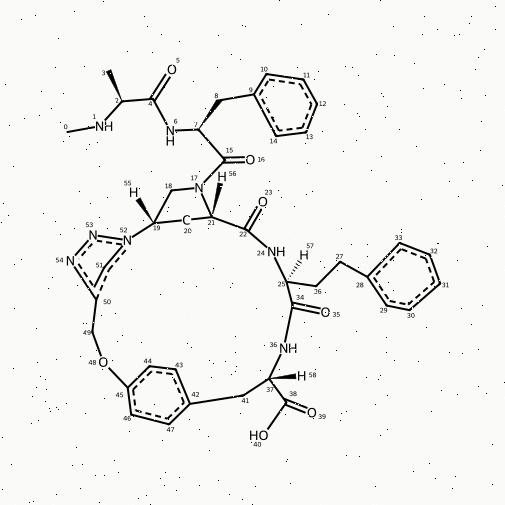 CN[C@@H](C)C(=O)N[C@@H](Cc1ccccc1)C(=O)N1C[C@@H]2C[C@H]1C(=O)N[C@@H](CCc1ccccc1)C(=O)N[C@H](C(=O)O)Cc1ccc(cc1)OCc1cn2nn1